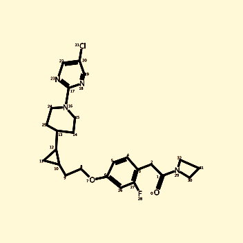 O=C(Cc1ccc(OCCC2CC2C2CCN(c3ncc(Cl)cn3)CC2)cc1F)N1CCC1